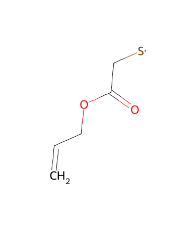 C=CCOC(=O)C[S]